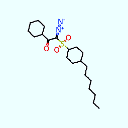 CCCCCCCC1CCC(S(=O)(=O)C(=[N+]=[N-])C(=O)C2CCCCC2)CC1